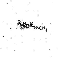 CCCOCCC(=O)N1CCn2c(nc3c(C(F)(F)F)snc32)C1